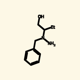 CCC(CO)N(N)Cc1ccccc1